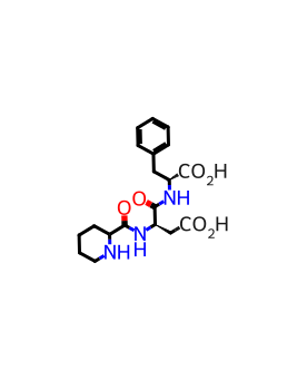 O=C(O)C[C@@H](NC(=O)C1CCCCN1)C(=O)N[C@@H](Cc1ccccc1)C(=O)O